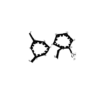 Cc1cccc(C)c1.Cc1ccccc1O